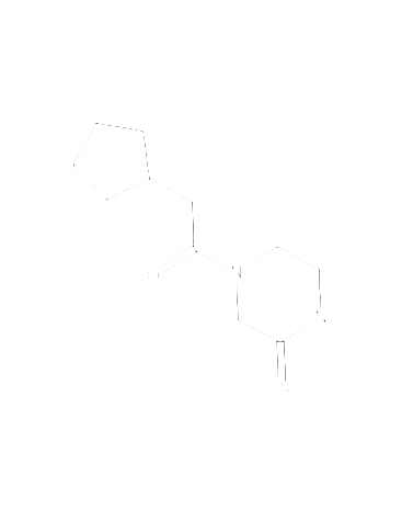 O=C1CN(C(=O)CC2CCCC2)CCN1